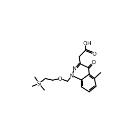 Cc1cccc2c1c(=O)c(CC(=O)O)nn2COCC[Si](C)(C)C